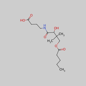 CCCCC(=O)OCC(C)(C)C(O)C(=O)NCCCC(=O)O